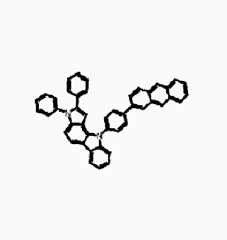 c1ccc(-c2cc3c(ccc4c5ccccc5n(-c5ccc(-c6ccc7cc8ccccc8cc7c6)cc5)c43)n2-c2ccccc2)cc1